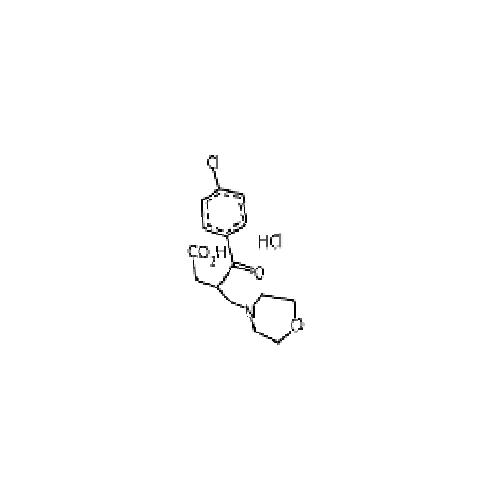 Cl.O=C(O)CC(CN1CCOCC1)C(=O)c1ccc(Cl)cc1